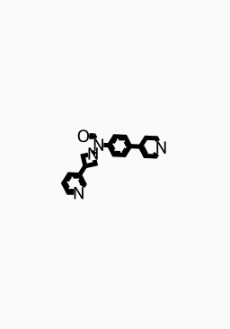 O=CN(c1ccc(C2=CC=NCC2)cc1)N1CC(c2cccnc2)C1